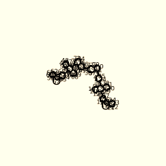 c1cc(-c2ccc(-c3c4ccccc4c(-c4ccc5oc6ccccc6c5c4)c4ccccc34)cc2)c2ccc(-c3ccc4c(-c5c6ccccc6c(-c6ccc7oc8ccccc8c7c6)c6ccccc56)cccc4c3)cc2c1